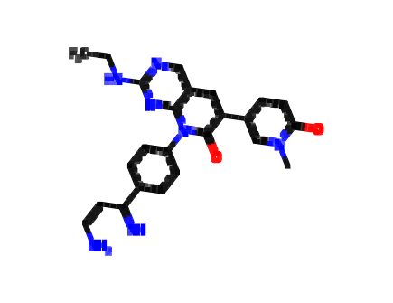 Cn1cc(-c2cc3cnc(NCC(F)(F)F)nc3n(-c3ccc(C(=N)/C=C\N)cc3)c2=O)ccc1=O